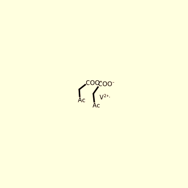 CC(=O)CC(=O)[O-].CC(=O)CC(=O)[O-].[V+2]